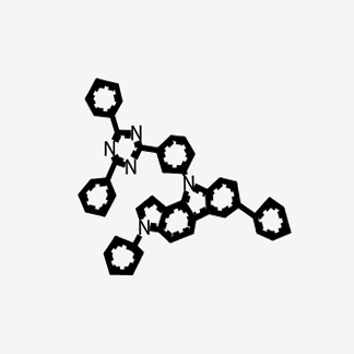 c1ccc(-c2ccc3c(c2)c2ccc4c(ccn4-c4ccccc4)c2n3-c2cccc(-c3nc(-c4ccccc4)nc(-c4ccccc4)n3)c2)cc1